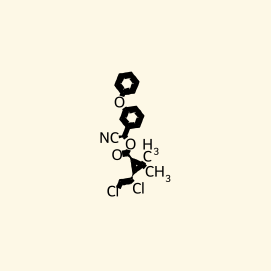 CC1(C)[C@H](C(=O)O[C@@H](C#N)c2cccc(Oc3ccccc3)c2)[C@H]1C(Cl)=CCl